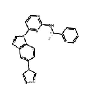 C[C@H](Nc1nccc(-n2cnc3cc(-n4cnnn4)ccc32)n1)c1ccccc1